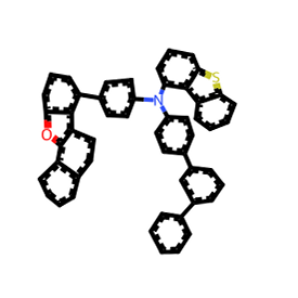 c1ccc(-c2cccc(-c3ccc(N(c4ccc(-c5cccc6oc7c8ccccc8ccc7c56)cc4)c4cccc5sc6ccccc6c45)cc3)c2)cc1